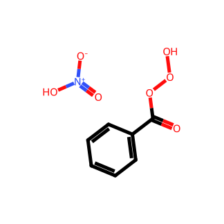 O=C(OOO)c1ccccc1.O=[N+]([O-])O